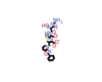 Nc1nc(C(=NO)C(=O)NC2C(=O)N3C(C(=O)[O-])=C(C[n+]4cccc5oc(-c6ccccc6)nc54)CS[C@@H]23)ns1